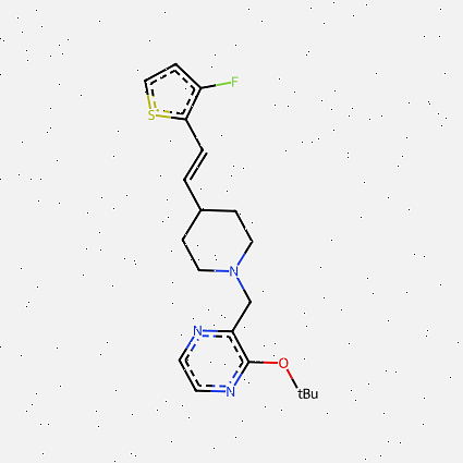 CC(C)(C)Oc1nccnc1CN1CCC(C=Cc2sccc2F)CC1